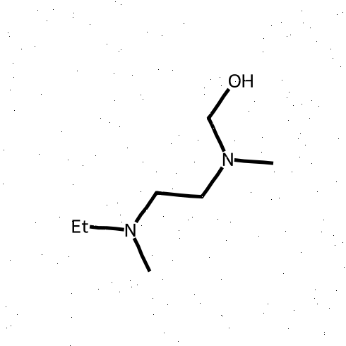 CCN(C)CCN(C)CO